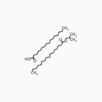 CCCCCCCCCCCCCCCC(=O)O.CCCCCCCCCCCCCCCC(=O)OCC(C)C